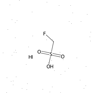 I.O=S(=O)(O)CF